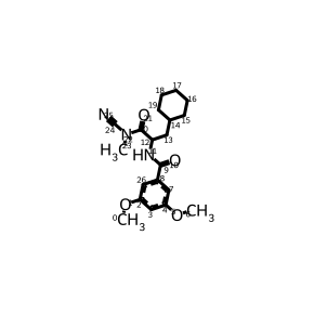 COc1cc(OC)cc(C(=O)NC(CC2CCCCC2)C(=O)N(C)C#N)c1